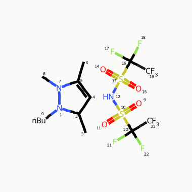 CCCCN1C(C)C=C(C)N1C.O=S(=O)(NS(=O)(=O)C(F)(F)C(F)(F)F)C(F)(F)C(F)(F)F